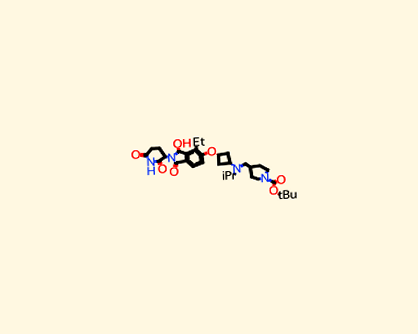 CCc1c(O[C@H]2C[C@H](N(CC3CCN(C(=O)OC(C)(C)C)CC3)C(C)C)C2)ccc2c1C(O)N(C1CCC(=O)NC1=O)C2=O